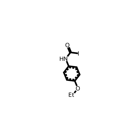 CCOc1ccc(NC(=O)I)cc1